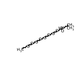 CCCCOCCOCCOCCOCCOCCOCCOCCOCCC(=O)NCCC(C)C